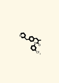 CC(=Cc1ccc(Cc2cccnc2)cc1)C(=O)Oc1cccc(C(F)(F)F)c1